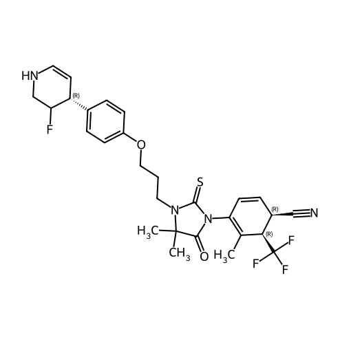 CC1=C(N2C(=O)C(C)(C)N(CCCOc3ccc([C@H]4C=CNCC4F)cc3)C2=S)C=C[C@@H](C#N)[C@H]1C(F)(F)F